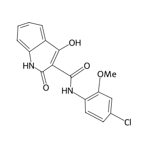 COc1cc(Cl)ccc1NC(=O)c1c(O)c2ccccc2[nH]c1=O